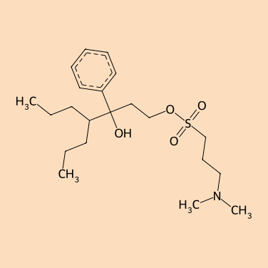 CCCC(CCC)C(O)(CCOS(=O)(=O)CCCN(C)C)c1ccccc1